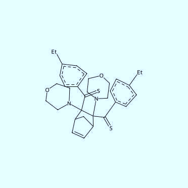 CCc1ccc(C(=S)C2(N3CCOCC3)C3C=CC(C3)C2(C(=S)c2ccc(CC)cc2)N2CCOCC2)cc1